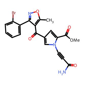 COC(=O)c1cc(C(=O)c2c(-c3ccccc3Br)noc2C)cn1C#CC(N)=O